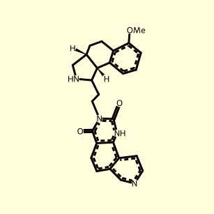 COc1cccc2c1CC[C@H]1CNC(CCn3c(=O)[nH]c4c(ccc5cnccc54)c3=O)[C@@H]21